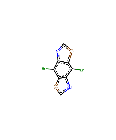 Brc1c2ncsc2c(Br)c2ncsc12